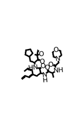 C=C/C=C(\C=C/C)CC(NC(=O)C(C)NC(=O)CN1CCOCC1)C(=O)NC(CC1CCCC1)C(=O)C1(C)CO1